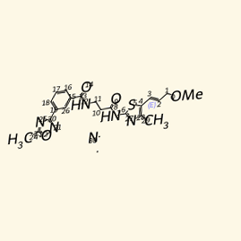 COC/C=C/c1sc(NC(=O)CCNC(=O)c2cccc(-c3noc(C)n3)c2)nc1C.[N]